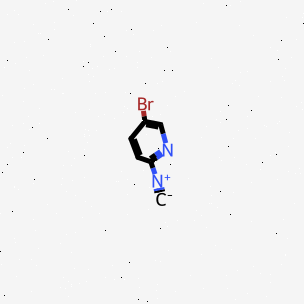 [C-]#[N+]c1ccc(Br)cn1